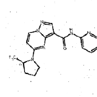 O=C(Nc1ccccn1)c1cnn2ccc(N3CCC[C@H]3C(F)(F)F)nc12